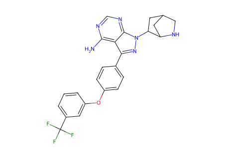 Nc1ncnc2c1c(-c1ccc(Oc3cccc(C(F)(F)F)c3)cc1)nn2C1CC2CNC1C2